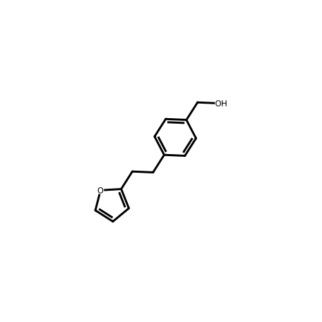 OCc1ccc(CCc2ccco2)cc1